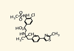 Cc1nc(-c2ccc(CC(C)(C)NC[C@H](O)c3ccc(Cl)c(NS(C)(=O)=O)c3)cc2)cs1